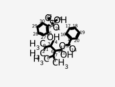 CC(C)C(CO)C(C(C)C)C(O)OC(=O)c1ccccc1.O=S(=O)(O)c1ccccc1